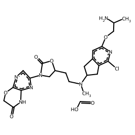 CC(N)COc1cc2c(c(Cl)n1)CC(N(C)CCC1CN(c3cnc4c(n3)NC(=O)CO4)C(=O)O1)C2.O=CO